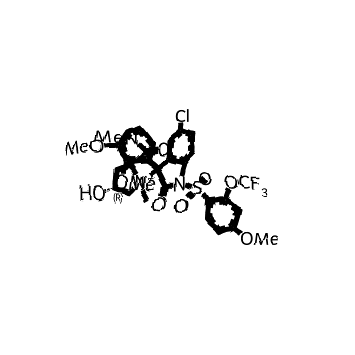 CNC(=O)[C@@H]1C[C@@H](O)C[N+]1(C)C1(c2cccc(OC)c2OC)C(=O)N(S(=O)(=O)c2ccc(OC)cc2OC(F)(F)F)c2ccc(Cl)cc21